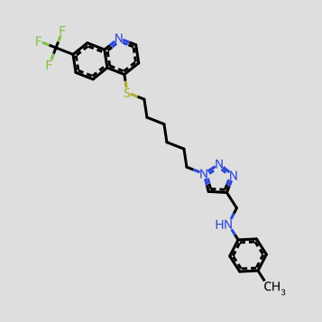 Cc1ccc(NCc2cn(CCCCCCSc3ccnc4cc(C(F)(F)F)ccc34)nn2)cc1